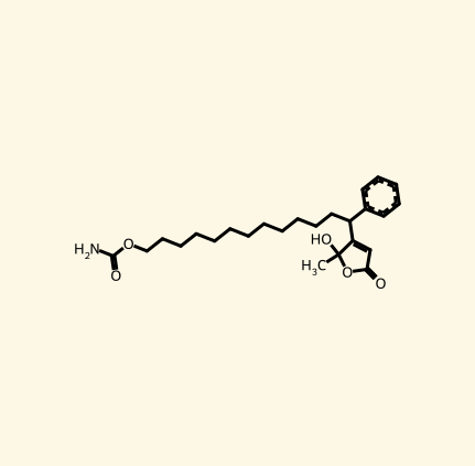 CC1(O)OC(=O)C=C1C(CCCCCCCCCCCCOC(N)=O)c1ccccc1